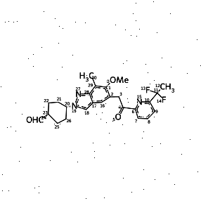 COc1c(CC(=O)c2cccc(C(C)(F)F)n2)cc2cn([C@H]3CC[C@H](C=O)CC3)nc2c1C